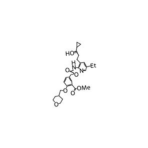 CCc1cnc(NS(=O)(=O)c2ccc(OCC3CCOCC3)c(C(=O)OC)c2)c(CC[C@@H](O)C2CC2)c1